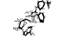 C[C@H](N[P@@](=O)(OC[C@@]1(C)O[C@@H](c2ccc3c(N)ncnn23)[C@H](O)[C@@H]1O)Oc1ccccc1)C(=O)O[C@H]1CC[C@H](C(F)(F)F)CC1